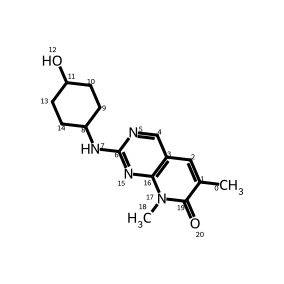 Cc1cc2cnc(NC3CCC(O)CC3)nc2n(C)c1=O